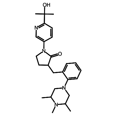 CC1CN(c2ccccc2CC2CCN(c3ccc(C(C)(C)O)nc3)C2=O)CC(C)N1C